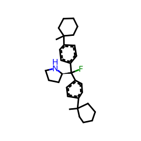 CC1(c2ccc(C(F)(c3ccc(C4(C)CCCCC4)cc3)[C@H]3CCCN3)cc2)CCCCC1